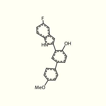 COc1ccc(-c2ccc(O)c(-c3cc4cc(F)ccc4[nH]3)c2)cc1